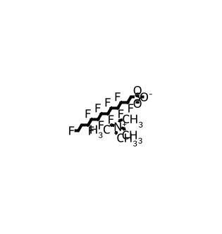 CC[N+](CC)(CC)CC.O=S(=O)([O-])CC(F)C(F)C(F)C(F)C(F)C(F)C(F)C(F)C(F)CCF